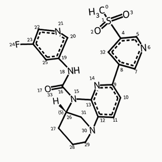 CS(=O)(=O)c1cncc(-c2ccc3c(n2)N(C(=O)Nc2cncc(F)c2)[C@H]2CCCN3C2)c1